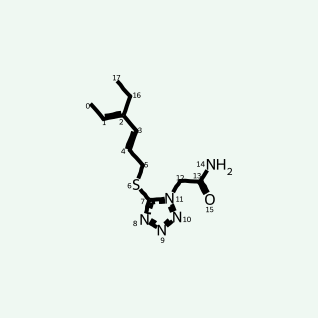 CC=C(C=CCSc1nnnn1CC(N)=O)CC